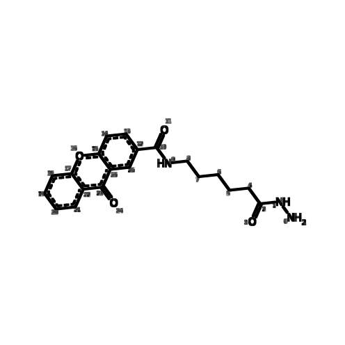 NNC(=O)CCCCCNC(=O)c1ccc2oc3ccccc3c(=O)c2c1